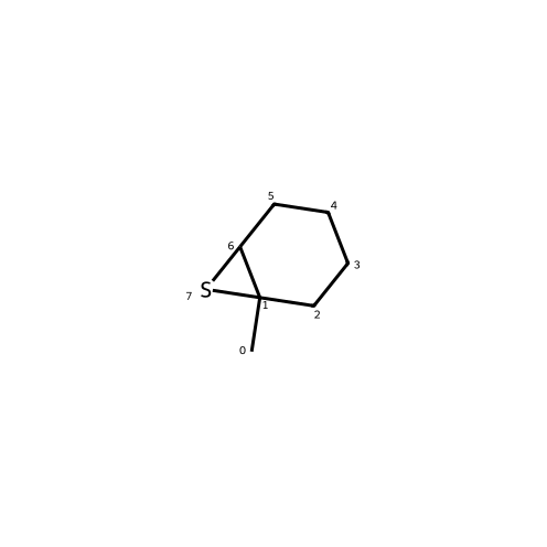 CC12CCCCC1S2